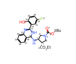 CCOC(=O)[C@H]1CN(C(=O)OC(C)(C)C)C[C@@H]1NC1NC(c2cc(F)ccc2O)=Nc2ccccc21